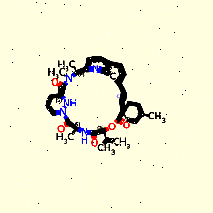 CC(C)[C@@H]1OC(=O)[C@]2(/C=C/c3ccc4ccc(nc4c3)[C@@H](C)N(C)C(=O)[C@@H]3CCCN(N3)C(=O)[C@H](C)NC1=O)CC[C@H](C)CC2